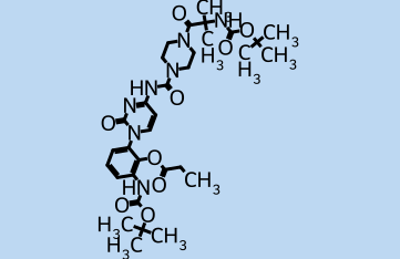 CCC(=O)Oc1c(NC(=O)OC(C)(C)C)cccc1-n1ccc(NC(=O)N2CCN(C(=O)C(C)(C)NC(=O)OC(C)(C)C)CC2)nc1=O